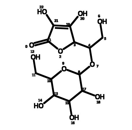 O=C1OC(C(CO)OC2OC(CO)C(O)C(O)C2O)C(O)=C1O